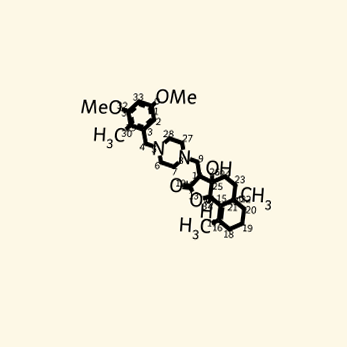 COc1cc(CN2CCN(CC3C(=O)O[C@H]4C5=C(C)CCC[C@]5(C)CCC34O)CC2)c(C)c(OC)c1